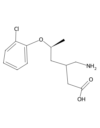 C[C@@H](CC(CN)CC(=O)O)Oc1ccccc1Cl